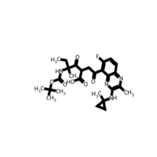 CCC(C)(NC(=O)OC(C)(C)C)C(=O)C(CC(=O)c1c(F)ccc2nc(C)c(NC3(C)CC3)nc12)C(=O)O